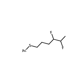 CC(=O)SCCCC(F)C(C)F